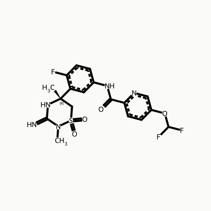 CN1C(=N)N[C@](C)(c2cc(NC(=O)c3ccc(OC(F)F)cn3)ccc2F)CS1(=O)=O